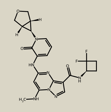 CNc1cc(Nc2cccn([C@H]3[C@@H]4COC[C@@H]43)c2=O)nc2c(C(=O)N[C@@H]3CCC3(F)F)cnn12